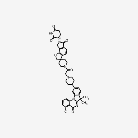 CC1(C)c2ccc(C3CCN(CC(=O)N4CCC5(CC4)COc4c5ccc5c4CN([C@H]4CCC(=O)NC4=O)C5=O)CC3)cc2-n2c1nc(=O)c1c(Cl)cccc12